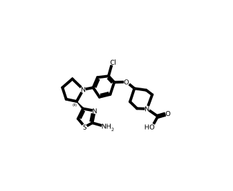 Nc1nc([C@H]2CCCN2c2ccc(OC3CCN(C(=O)O)CC3)c(Cl)c2)cs1